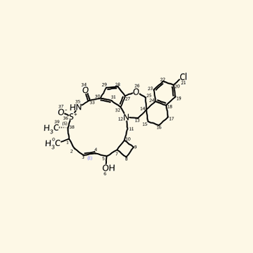 CC1C/C=C/C(O)C2CCC2CN2CC3(CCCc4cc(Cl)ccc43)COc3ccc(cc32)C(=O)N[S+]([O-])[C@H]1C